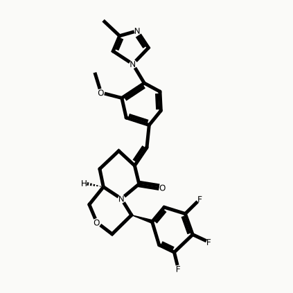 COc1cc(C=C2CC[C@@H]3COC[C@H](c4cc(F)c(F)c(F)c4)N3C2=O)ccc1-n1cnc(C)c1